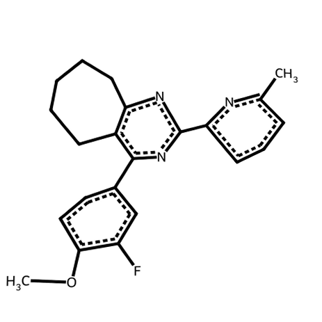 COc1ccc(-c2nc(-c3cccc(C)n3)nc3c2CCCCC3)cc1F